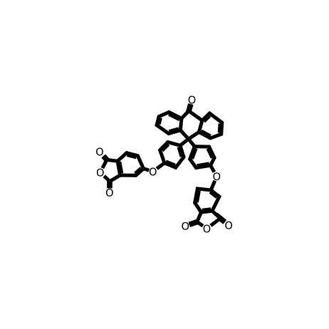 O=C1OC(=O)c2cc(Oc3ccc(C4(c5ccc(Oc6ccc7c(c6)C(=O)OC7=O)cc5)c5ccccc5C(=O)c5ccccc54)cc3)ccc21